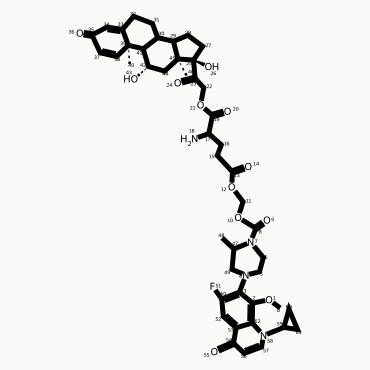 COc1c(N2CCN(C(=O)OCOC(=O)CCC(N)C(=O)OCC(=O)[C@@]3(O)CCC4C5CCC6=CC(=O)C=C[C@]6(C)C5[C@@H](O)C[C@@]43C)C(C)C2)c(F)cc2c(=O)ccn(C3CC3)c12